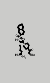 CC(C)(C)CC(=O)C1CCN(C(=O)[C@H](CCCCC(=N)N)NS(=O)(=O)c2ccc3ccccc3c2)CC1